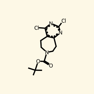 CC(C)(C)OC(=O)N1CCc2nc(Cl)nc(Cl)c2CC1